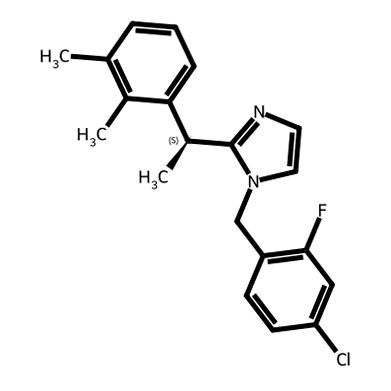 Cc1cccc([C@H](C)c2nccn2Cc2ccc(Cl)cc2F)c1C